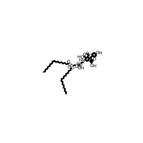 CCCCCCCC/C=C\CCCCCCCC(=O)OC[C@H](COP(=O)(O)OCCNc1ccc2c(c1C(=O)O)C(=O)OC21c2ccc(O)cc2Oc2cc(O)ccc21)OC(=O)CCCCCCC/C=C\CCCCCCCC